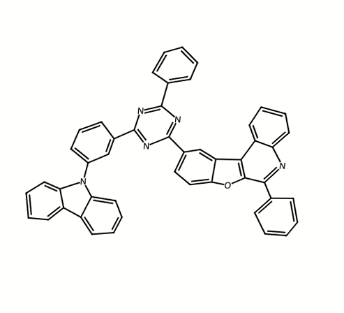 c1ccc(-c2nc(-c3cccc(-n4c5ccccc5c5ccccc54)c3)nc(-c3ccc4oc5c(-c6ccccc6)nc6ccccc6c5c4c3)n2)cc1